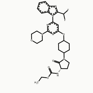 CCOC(=O)N[C@H]1CCN(C2CCC(Oc3cc(-n4c(C(F)F)nc5ccccc54)nc(N4CCOCC4)n3)CC2)C1=O